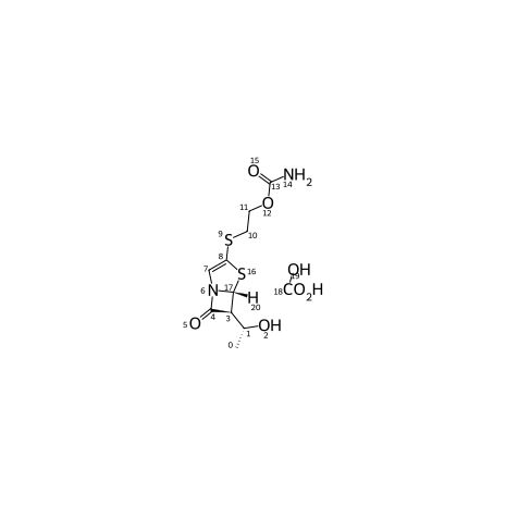 C[C@@H](O)[C@H]1C(=O)N2C=C(SCCOC(N)=O)S[C@H]12.O=C(O)O